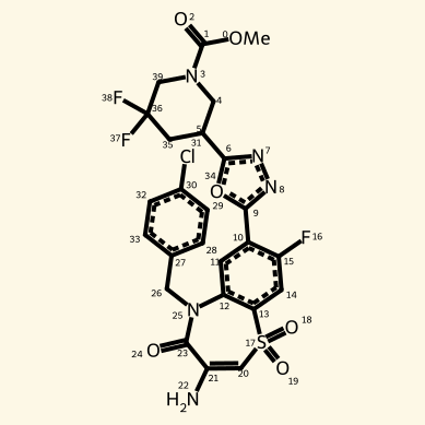 COC(=O)N1CC(c2nnc(-c3cc4c(cc3F)S(=O)(=O)C=C(N)C(=O)N4Cc3ccc(Cl)cc3)o2)CC(F)(F)C1